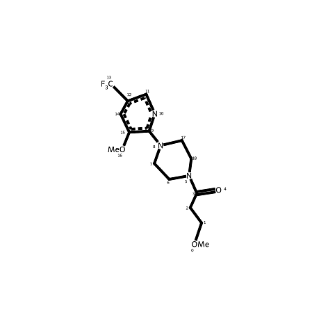 COCCC(=O)N1CCN(c2ncc(C(F)(F)F)cc2OC)CC1